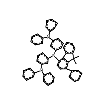 CC1(C)c2ccccc2-c2c(N(c3cccc(N(c4ccccc4)c4ccccc4)c3)c3cccc(N(c4ccccc4)c4ccccc4)c3)ccc(-c3ccccc3)c21